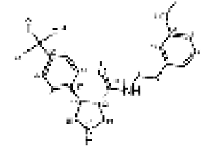 COc1cccc(CCNC(=O)[C@@H]2CNC[C@H]2c2ccc(C(F)(F)F)cc2)c1